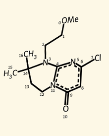 COCCN1c2nc(Cl)cc(=O)n2CCC1(C)C